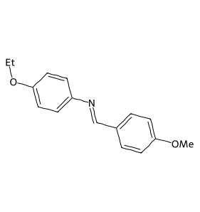 CCOc1ccc(N=Cc2ccc(OC)cc2)cc1